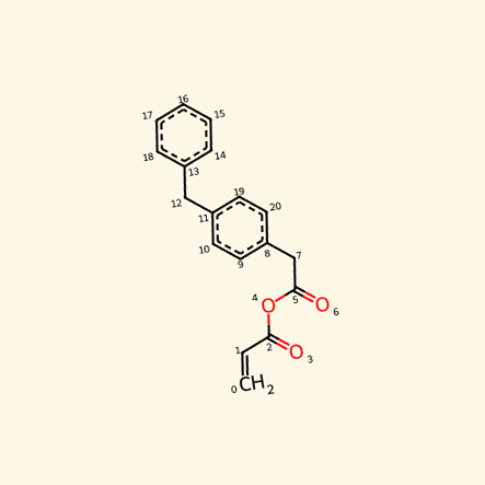 C=CC(=O)OC(=O)Cc1ccc(Cc2ccccc2)cc1